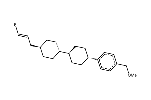 COCc1ccc([C@H]2CC[C@H]([C@H]3CC[C@H](CC=CF)CC3)CC2)cc1